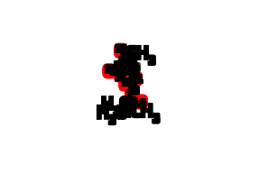 CCC(C)(C)C(=O)OCC(=O)OC1C2CC3C1OC(=O)C3C2C(C)=O